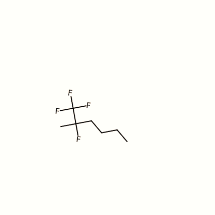 CCCCC(C)(F)C(F)(F)F